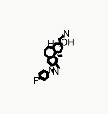 CC[C@@]12CC[C@](O)(CC#N)C[C@@H]1CCCc1cc3c(cnn3-c3ccc(F)cc3)cc12